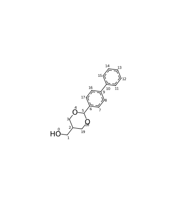 OCC1COC(c2ccc(-c3ccccc3)cc2)OC1